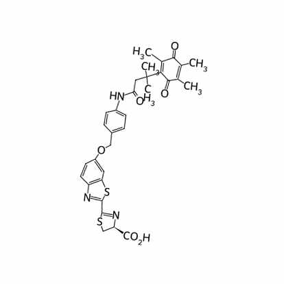 CC1=C(C)C(=O)C(C(C)(C)CC(=O)Nc2ccc(COc3ccc4nc(C5=N[C@@H](C(=O)O)CS5)sc4c3)cc2)=C(C)C1=O